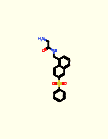 NCC(=O)NCc1cccc2cc(S(=O)(=O)c3ccccc3)ccc12